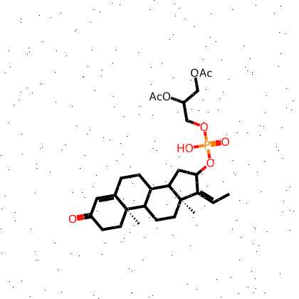 CC=C1C(OP(=O)(O)OCC(COC(C)=O)OC(C)=O)CC2C3CCC4=CC(=O)CC[C@]4(C)C3CC[C@]12C